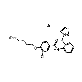 CCCCCCCCCCCCCCOc1ccc(C(=O)Nc2ccccc2C[n+]2ccsc2)cc1Cl.[Br-]